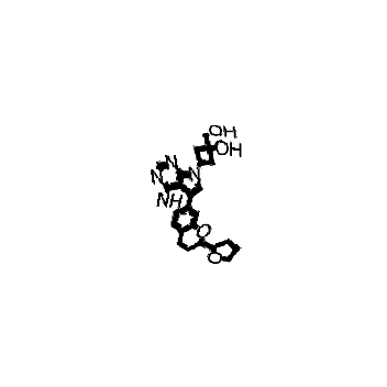 Nc1ncnc2c1c(-c1ccc3c(c1)OC(C1CCCO1)CC3)cn2C1CC(O)(CO)C1